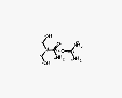 NC(=O)N(CO)CO.NC(N)=O